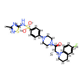 Cc1nsc(NS(=O)(=O)c2ccc(N3CCN(C(=O)[C@@H](C)N4CCCc5cc(F)ccc54)CC3)cc2)n1